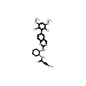 CC#CC(=O)N[C@H]1CCCC[C@H]1Nc1ncc2cc(-c3c(Cl)c(OC)cc(OC)c3Cl)ccc2n1